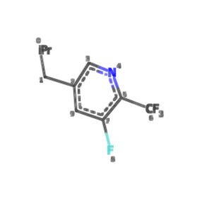 CC(C)Cc1cnc(C(F)(F)F)c(F)c1